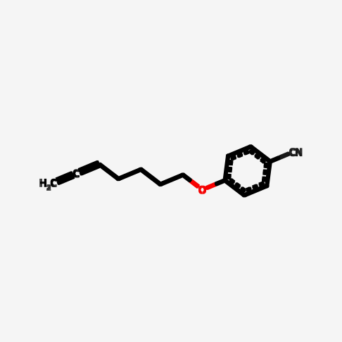 C=C=CCCCCOc1ccc(C#N)cc1